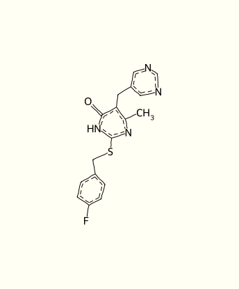 Cc1nc(SCc2ccc(F)cc2)[nH]c(=O)c1Cc1cncnc1